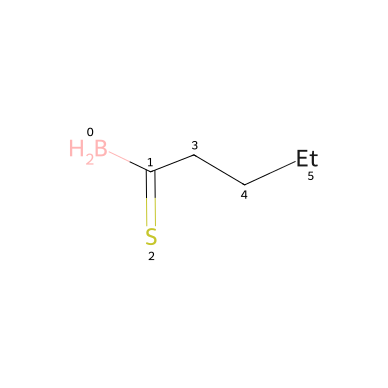 BC(=S)CCCC